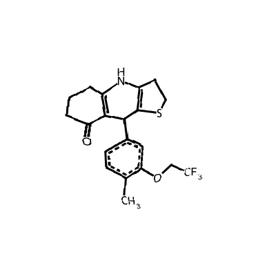 Cc1ccc(C2C3=C(CCS3)NC3=C2C(=O)CCC3)cc1OCC(F)(F)F